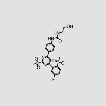 CS(=O)(=O)c1nc(-c2ccc(NC(=O)NCCO)cc2)cc(-c2cc(F)ccc2S(C)(=O)=O)n1